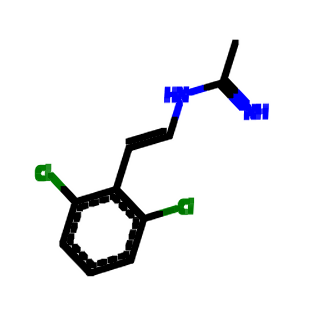 CC(=N)NC=Cc1c(Cl)cccc1Cl